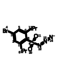 CC(C)c1cc(Br)cc(C(C)C)c1S(=O)(=O)N=[N+]=[N-]